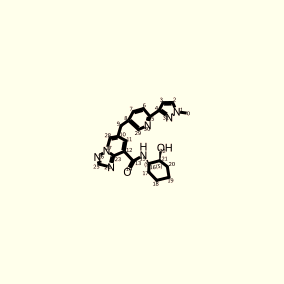 Cn1ccc(-c2ccc(Cc3cc(C(=O)N[C@H]4CCCC[C@@H]4O)c4ncnn4c3)cn2)n1